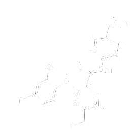 Cc1cc(F)ccc1Oc1cc(CF)ccc1C(=O)Nc1ccc(C(=O)O)cc1